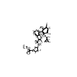 CCC(=O)N1C[C@@H](C)[C@H](NC(=O)c2c(C)[nH]c3c(-c4c(OCC5CC5)ccc(C)c4F)ncnc23)C1